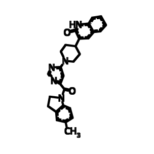 Cc1ccc2c(c1)CCN2C(=O)c1cc(N2CCC(c3cc4ccccc4[nH]c3=O)CC2)ncn1